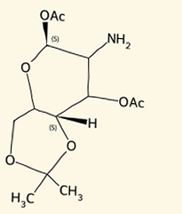 CC(=O)OC1C(N)[C@H](OC(C)=O)OC2COC(C)(C)O[C@H]21